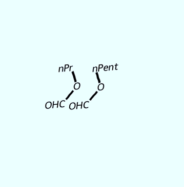 CCCCCOC=O.CCCOC=O